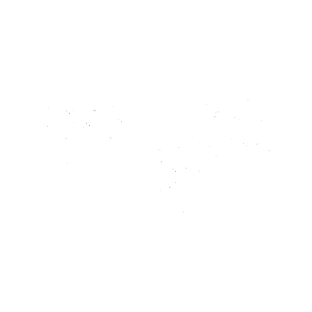 COc1cncnc1N1CCN(CCCc2cn([Si](C(C)C)(C(C)C)C(C)C)c3ccc(-c4c(NC(C)C)c(=O)c4=O)cc23)CC1